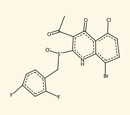 CC(=O)c1c([S+]([O-])Cc2ccc(F)cc2F)[nH]c2c(Br)ccc(Cl)c2c1=O